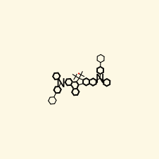 CC(C)(C)C1(C(C)(C)C)c2cc3cc(N(c4ccccc4)c4ccc(C5CCCCC5)cc4)ccc3cc2-c2c1c1ccc(N(c3ccccc3)c3ccc(C4CCCCC4)cc3)cc1c1ccccc21